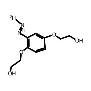 [2H]/N=N/c1cc(OCCO)ccc1OCCO